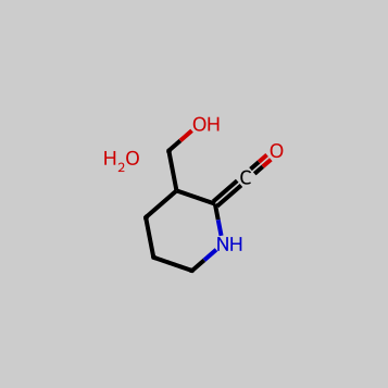 O.O=C=C1NCCCC1CO